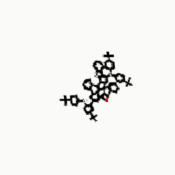 CC(C)(C)c1ccc(Nc2ccc(C(C)(C)C)cc2-c2ccc3c4c(c5ccccc5c3c2)-c2c(cc(N(c3ccc(C(C)(C)C)cc3)c3ccc(C(C)(C)C)cc3)c3c2oc2ccccc23)C42c3ccccc3-c3ccccc32)cc1